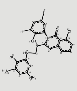 Cc1c(F)cc(F)cc1-n1c(CCNc2nc(N)nc(N)c2C#N)nc2cccc(Cl)c2c1=O